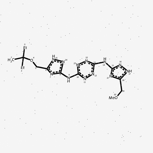 CCC(C)(CC)OCc1nc(Nc2nnc(Nc3n[nH]c(COC)n3)nn2)n[nH]1